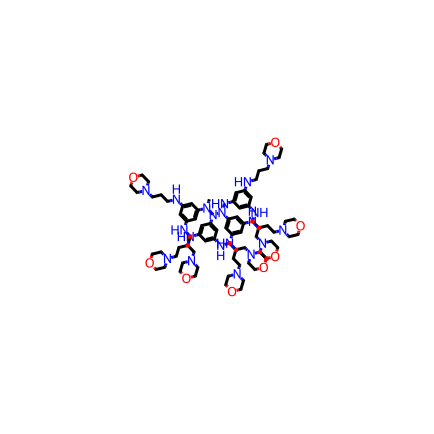 CN(c1cc(NCCCN2CCOCC2)cc(NCCCN2CCOCC2)c1)N(c1cc(NCCCN2CCOCC2)cc(NCCCN2CCOCC2)c1)N(Nc1cc(NCCCN2CCOCC2)cc(NCCCN2CCOCC2)c1)c1cc(NCCCN2CCOCC2)cc(NCCCN2CCOCC2)c1